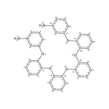 Nc1cccc(Oc2ccccc2Oc2ccccc2Oc2ccccc2Oc2ccccc2Oc2cccc(N)c2)c1